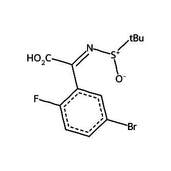 CC(C)(C)[S+]([O-])/N=C(/C(=O)O)c1cc(Br)ccc1F